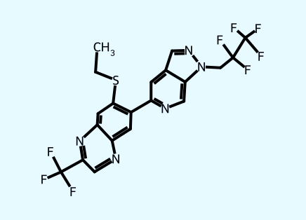 CCSc1cc2nc(C(F)(F)F)cnc2cc1-c1cc2cnn(CC(F)(F)C(F)(F)F)c2cn1